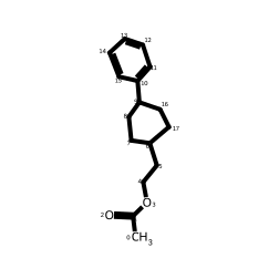 CC(=O)OCCC1CCC(c2ccccc2)CC1